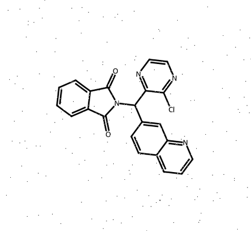 O=C1c2ccccc2C(=O)N1C(c1ccc2cccnc2c1)c1nccnc1Cl